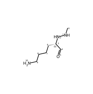 CNN[C@H](C=O)CCCCN